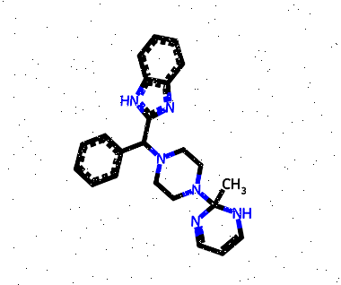 CC1(N2CCN(C(c3ccccc3)c3nc4ccccc4[nH]3)CC2)N=CC=CN1